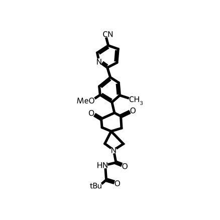 COc1cc(-c2ccc(C#N)cn2)cc(C)c1C1C(=O)CC2(CC1=O)CN(C(=O)NC(=O)C(C)(C)C)C2